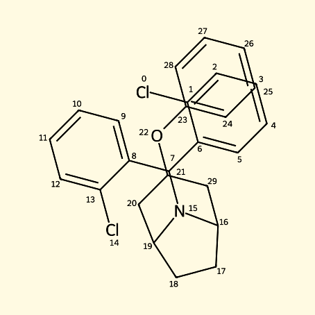 Clc1ccccc1C(c1ccccc1Cl)N1C2CCC1CC(Oc1ccccc1)C2